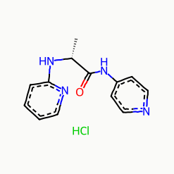 C[C@@H](Nc1ccccn1)C(=O)Nc1ccncc1.Cl